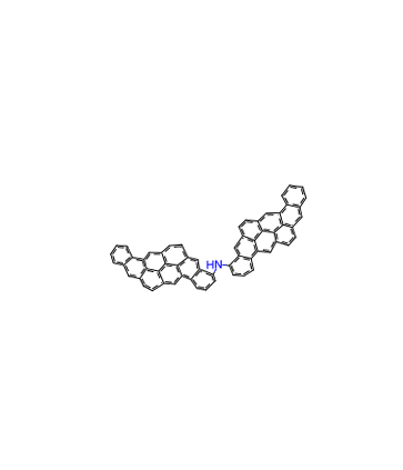 c1ccc2c(c1)cc1ccc3cc4c5cccc(Nc6cccc7c6cc6ccc8cc9c%10ccccc%10cc%10ccc%11cc7c6c8c%11c%109)c5cc5ccc6cc2c1c3c6c54